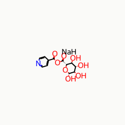 O=C(OC(=O)[C@H]1O[C@@H](O)[C@H](O)[C@@H](O)[C@@H]1O)c1ccncc1.[NaH]